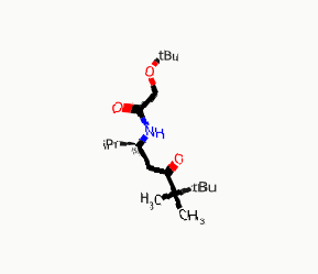 CC(C)[C@H](CC(=O)C(C)(C)C(C)(C)C)NC(=O)COC(C)(C)C